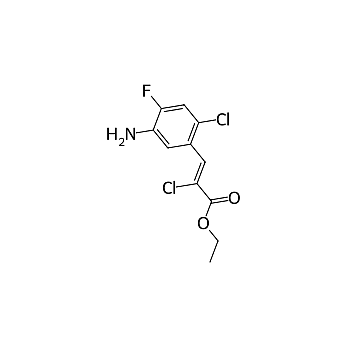 CCOC(=O)C(Cl)=Cc1cc(N)c(F)cc1Cl